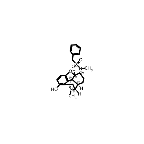 CN1CC[C@@]23c4c5ccc(O)c4C[C@@H]1[C@@H]2CC[C@@H](N(C)S(=O)(=O)Cc1ccccc1)[C@@H]3O5